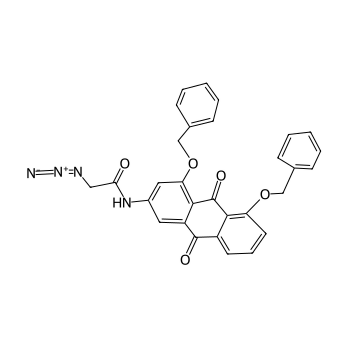 [N-]=[N+]=NCC(=O)Nc1cc(OCc2ccccc2)c2c(c1)C(=O)c1cccc(OCc3ccccc3)c1C2=O